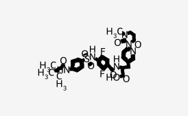 CN1CCC(=O)N(c2ccc(CC(NC(=O)c3cc(F)c(NS(=O)(=O)c4ccc(NC(=O)C(C)(C)C)cc4)cc3F)C(=O)O)cn2)C1=O